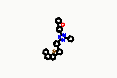 c1ccc(-c2nc(-c3cccc(-c4cccc5c4sc4c5ccc5ccc6ccccc6c54)c3)nc(-c3ccc4c(c3)oc3ccccc34)n2)cc1